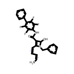 N/C=C\C=C/C1=C(C(=O)Nc2c(F)c(F)c(-c3ccccc3)c(F)c2F)C(O)N1Cc1ccccc1